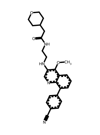 COc1c(NCCNC(=O)CC2CCOCC2)cnc2c(-c3ccc(C#N)cc3)cccc12